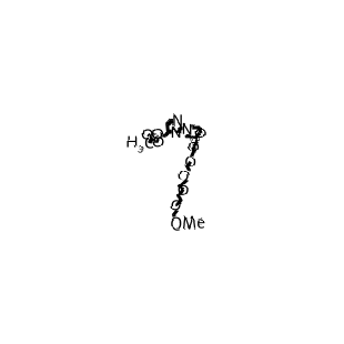 COCCOCCOCCOCCOCCOC[C@H]1CN(c2nccc(COS(C)(=O)=O)n2)CCO1